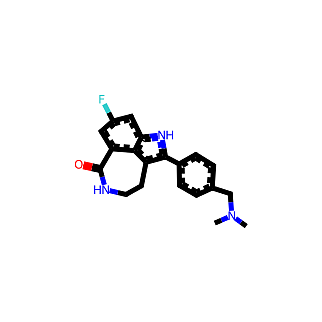 CN(C)Cc1ccc(-c2[nH]c3cc(F)cc4c3c2CCNC4=O)cc1